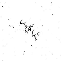 C/C=C/n1cnn(CC[S+](C)[O-])c1=O